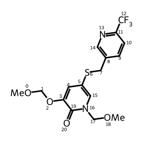 COCOc1cc(SCc2ccc(C(F)(F)F)nc2)cn(COC)c1=O